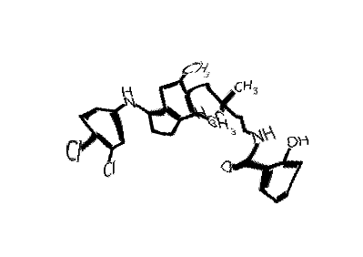 Cc1cc2c(c(C)c1CC(C)(C)CCNC(=O)c1ccccc1O)CCC2Nc1ccc(Cl)c(Cl)c1